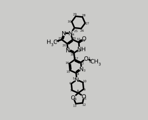 COc1nc(N2CCC3(CC2)OCCO3)ccc1-c1nc2c(C)nn(C3CCCCC3)c2c(=O)[nH]1